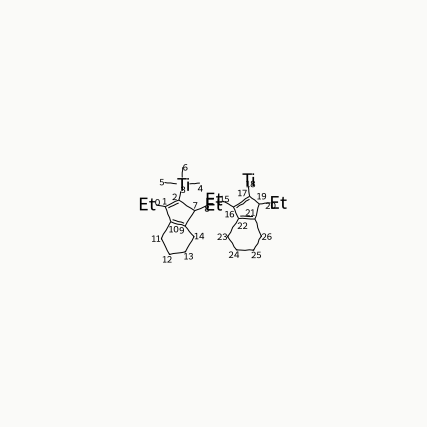 CCC1=[C]([Ti]([CH3])([CH3])[CH3])C(CC)C2=C1CCCC2.CCC1=[C]([Ti])C(CC)C2=C1CCCC2